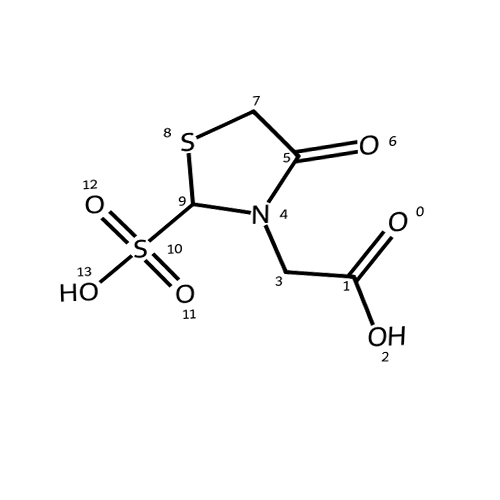 O=C(O)CN1C(=O)CSC1S(=O)(=O)O